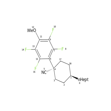 CCCCCCC[C@H]1CC[C@@](C#N)(c2c(F)c(F)c(OC)c(F)c2F)CC1